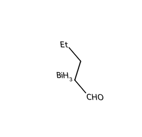 CCCCC=O.[BiH3]